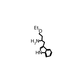 CCOCCC(N)Cc1c[nH]c2ccccc12